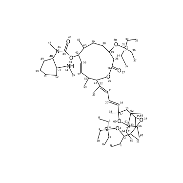 CCC(O[Si](CC)(CC)CC)C(C)C1OC1CC(C)(/C=C/C=C(\C)C1OC(=O)CC(O[Si](CC)(CC)CC)CCC(C)C(OC(=O)N(C)C2CCCCC2NC)/C=C/C1C)O[Si](CC)(CC)CC